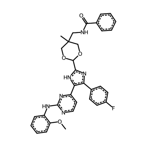 COc1ccccc1Nc1nccc(-c2[nH]c(C3OCC(C)(CNC(=O)c4ccccc4)CO3)nc2-c2ccc(F)cc2)n1